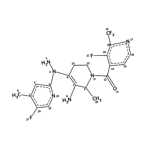 Cc1cc(N(N)C2=C(N)C(C)N(C(=O)c3ccnc(C(F)(F)F)c3F)CC2)ncc1F